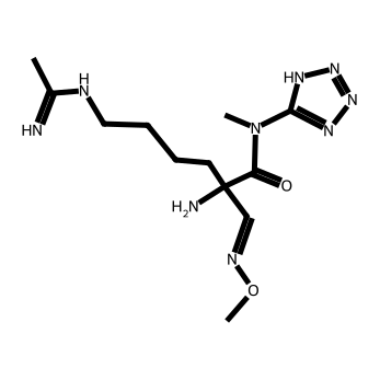 CON=CC(N)(CCCCNC(C)=N)C(=O)N(C)c1nnn[nH]1